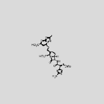 CON=C(C(=O)N[C@@H]1C(=O)N2C(C(=O)O)=C(CSc3cc(C(=O)O)nc4nc(C)nn34)CS[C@H]12)c1csc(N)n1